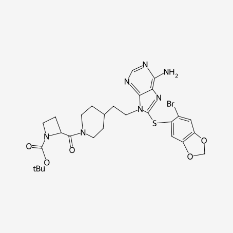 CC(C)(C)OC(=O)N1CCC1C(=O)N1CCC(CCn2c(Sc3cc4c(cc3Br)OCO4)nc3c(N)ncnc32)CC1